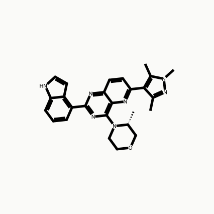 Cc1nn(C)c(C)c1-c1ccc2nc(-c3cccc4[nH]ccc34)nc(N3CCOC[C@H]3C)c2n1